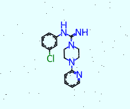 N=C(Nc1cccc(Cl)c1)N1CCN(c2ccccn2)CC1